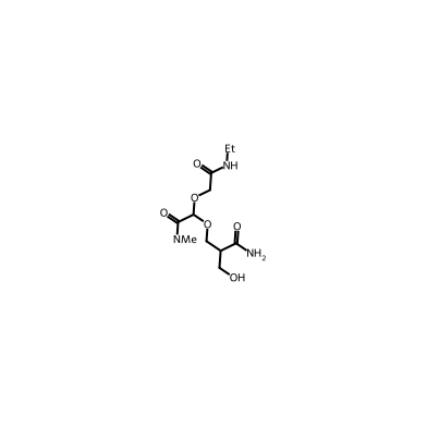 CCNC(=O)COC(OCC(CO)C(N)=O)C(=O)NC